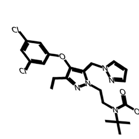 CCc1nn(CCN(C(=O)O)C(C)(C)C)c(Cn2cccn2)c1Oc1cc(Cl)cc(Cl)c1